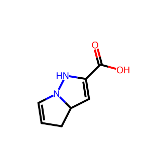 O=C(O)C1=CC2CC=CN2N1